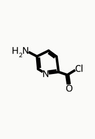 Nc1ccc(C(=O)Cl)nc1